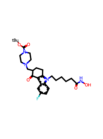 CC(C)(C)OC(=O)N1CCN(CC2CCc3c(c4cc(F)ccc4n3CCCCCC(=O)NO)C2=O)CC1